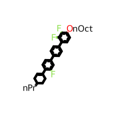 CCCCCCCCOc1ccc(-c2ccc(-c3ccc(C4=CCC(CCC)CC4)c(F)c3)cc2)c(F)c1F